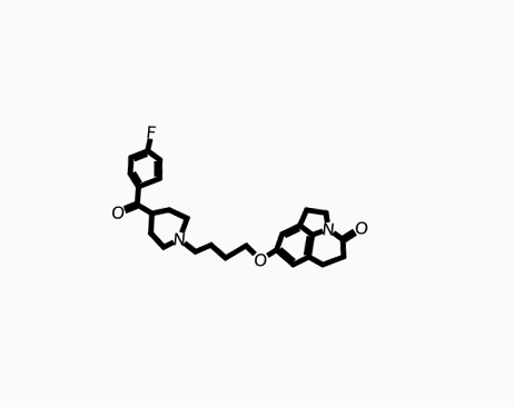 O=C(c1ccc(F)cc1)C1CCN(CCCCOc2cc3c4c(c2)CCN4C(=O)CC3)CC1